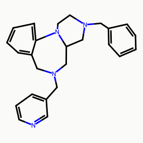 c1ccc(CN2CCN3c4ccccc4CN(Cc4cccnc4)CC3C2)cc1